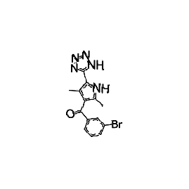 Cc1[nH]c(-c2nnn[nH]2)c(C)c1C(=O)c1cccc(Br)c1